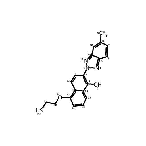 Oc1c(-n2nc3ccc(C(F)(F)F)cc3n2)ccc2c(OCCS)cccc12